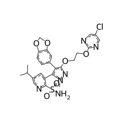 CC(C)c1cnc(S(N)(=O)=O)c(-c2c(-c3ccc4c(c3)OCO4)c(OCCOc3ncc(Cl)cn3)nn2C)c1